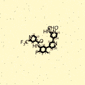 Cc1cc(F)c(NC(=O)c2ccnc(C(F)(F)F)c2)cc1-c1ccnc(-c2ccnc(NC=O)c2)c1